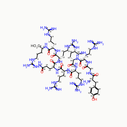 N=C(N)NCCC[C@H](NC(=O)[C@H](CCCNC(=N)N)NC(=O)[C@H](CCCNC(=N)N)NC(=O)[C@H](CCC(N)=O)NC(=O)[C@H](CCCNC(=N)N)NC(=O)[C@H](CCCNC(=N)N)NC(=O)[C@H](CCCCN)NC(=O)[C@H](CCCNC(=N)N)NC(=O)CNC(=O)[C@@H](N)Cc1ccc(O)cc1)C(=O)O